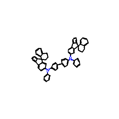 c1ccc(N(c2ccc(-c3ccc(N(c4ccccc4)c4ccc5c(c4)C4(CCCc6ccccc64)c4ccccc4-5)cc3)cc2)c2ccc3c(c2)C2(CCCc4ccccc42)c2ccccc2-3)cc1